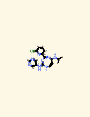 CC(C)NC1C#CN/C(Nc2cncnc2)=N\C(c2cccc(Cl)n2)=N/1